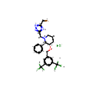 Cl.FC(F)(F)c1cc(CO[C@@H]2CCCN(Cc3n[nH]c(C=S)n3)[C@@H]2c2ccccc2)cc(C(F)(F)F)c1